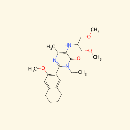 CCn1c(-c2cc3c(cc2OC)CCCC3)nc(C)c(NC(COC)COC)c1=O